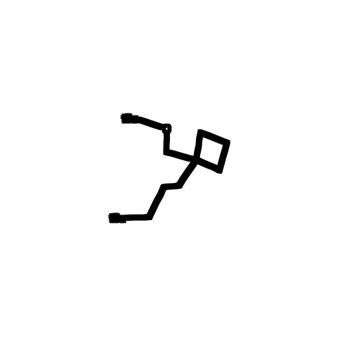 CC(C)(C)CCCC1(COC(C)(C)C)CCC1